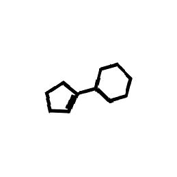 C1=C([C]2CCCCC2)CCC1